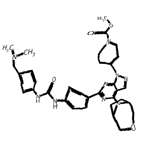 COC(=O)N1CCC(n2ncc3c(N4C5CCC4COC5)nc(-c4ccc(NC(=O)Nc5ccc(CN(C)C)cc5)cc4)nc32)CC1